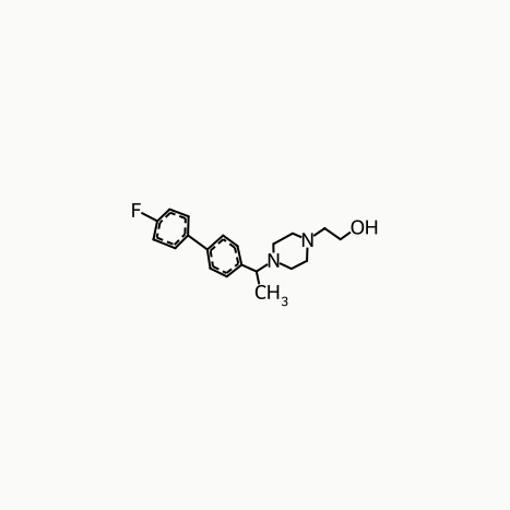 CC(c1ccc(-c2ccc(F)cc2)cc1)N1CCN(CCO)CC1